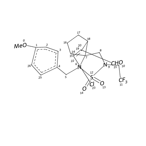 COc1ccc(CN2C3(CN(CC(F)(F)F)S2(=O)=O)C2CCC3CC(C=O)=C(Cl)C2)cc1